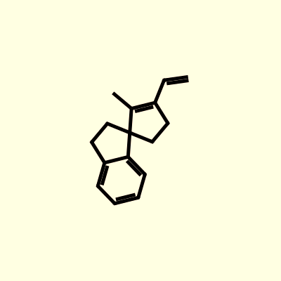 C=CC1=C(C)C2(CC1)CCc1ccccc12